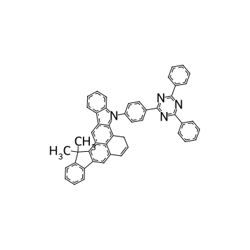 CC1(C)c2ccccc2-c2cc3c4c(c5c(cc4c21)c1ccccc1n5-c1ccc(-c2nc(-c4ccccc4)nc(-c4ccccc4)n2)cc1)CC=C3